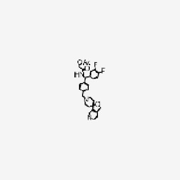 CC(=O)OCC(=O)NC(c1ccc(CN2CCC3(CC2)OCc2ccncc23)cc1)c1ccc(F)c(F)c1